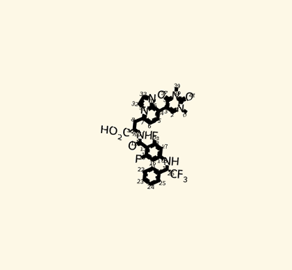 Cn1cc(-c2ccc(C[C@H](NC(=O)c3c(F)cc(N[C@H](c4ccccc4)C(F)(F)F)cc3F)C(=O)O)n3ccnc23)c(=O)n(C)c1=O